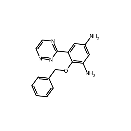 Nc1cc(N)c(OCc2ccccc2)c(-c2nccnn2)c1